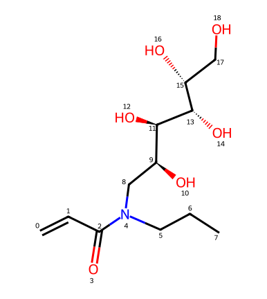 C=CC(=O)N(CCC)C[C@H](O)[C@@H](O)[C@@H](O)[C@H](O)CO